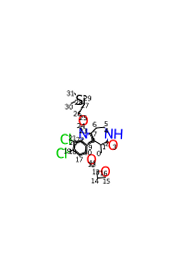 CC1C(=O)NCCc2c1c1c(OC[C@H]3CCO3)cc(Cl)c(Cl)c1n2COCC[Si](C)(C)C